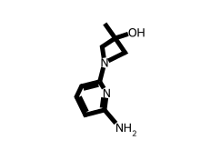 CC1(O)CN(c2cccc(N)n2)C1